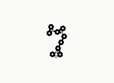 c1cc(-c2ccc(-c3ccc4c(c3)c3cccc5c3n4-c3ccccc3O5)cc2)cc(-n2c3ccccc3c3cc(-n4c5ccccc5c5ccccc54)ccc32)c1